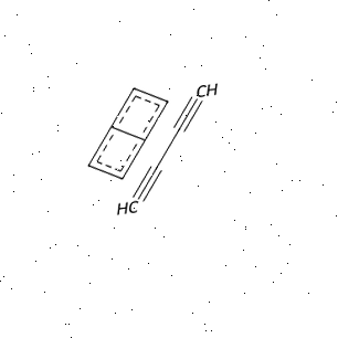 C#CC#C.c1cc2ccc1-2